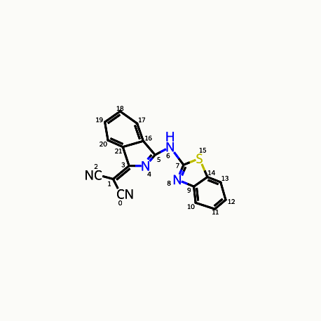 N#CC(C#N)=C1N=C(Nc2nc3ccccc3s2)c2ccccc21